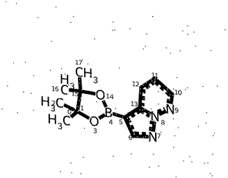 CC1(C)OB(c2cnn3ncccc23)OC1(C)C